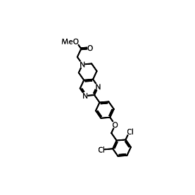 COC(=O)CN1CCc2nc(-c3ccc(OCc4c(Cl)cccc4Cl)cc3)ncc2C1